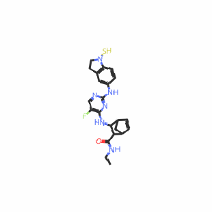 CCNC(=O)C1C2C=CC(C2)C1Nc1nc(Nc2ccc3c(c2)CCN3S)ncc1F